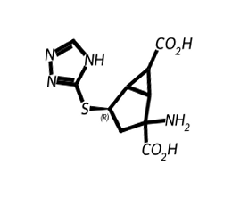 NC1(C(=O)O)C[C@@H](Sc2nnc[nH]2)C2C(C(=O)O)C21